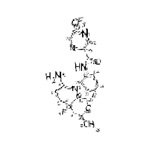 C[C@H]1C[C@@]2(F)CSC(N)=N[C@@]2(c2cccc(NC(=O)c3cnc(C(F)(F)F)cn3)c2)CO1